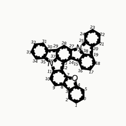 c1ccc2c(c1)oc1c2ccc2c1c1c3c4cccc5c6ccccc6n(c3cc3c6ccccc6n2c31)c54